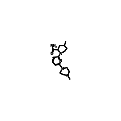 CC1CCN(c2[c]ccc(N3CCN(C)CC3)n2)C(C(N)=O)C1